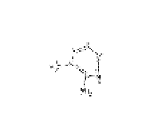 Cc1[c]ccnc1N